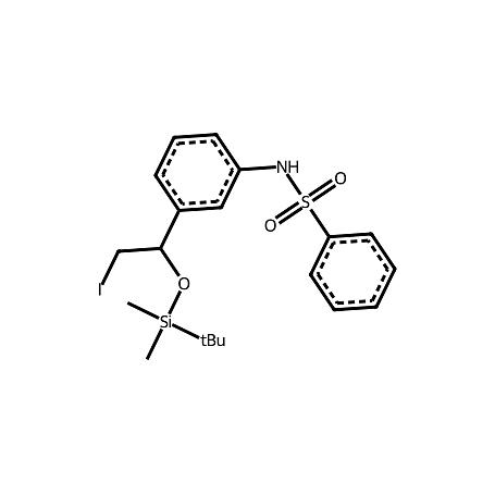 CC(C)(C)[Si](C)(C)OC(CI)c1cccc(NS(=O)(=O)c2ccccc2)c1